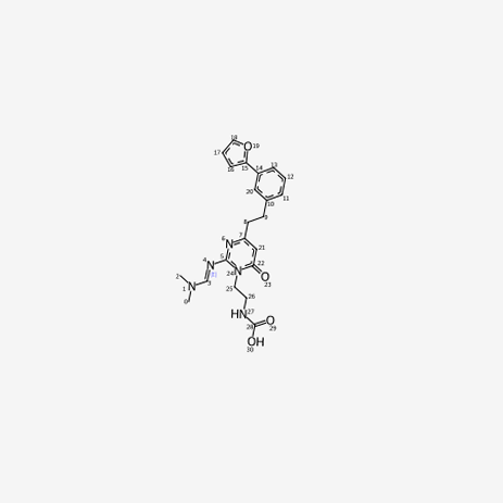 CN(C)/C=N/c1nc(CCc2cccc(-c3ccco3)c2)cc(=O)n1CCNC(=O)O